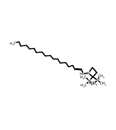 CCCCCCCCCCCCCCCCC=CNN1CCC1([N+](C)(C)C)[N+](C)(C)C